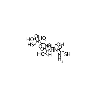 C[C@@H](O)[C@H](NC(=O)[C@H](CO)NC(=O)[C@@H](N)CS)C(=O)N[C@@H](CO)C(=O)N[C@@H](CS)C(=O)O